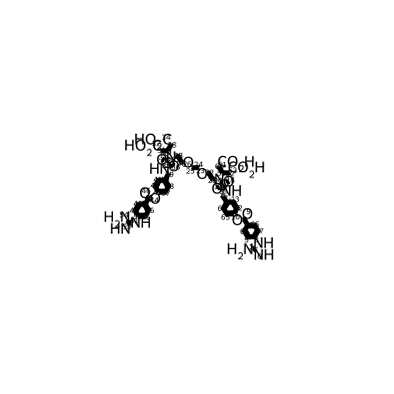 N=C(N)Nc1ccc(C(=O)Oc2ccc(CNS(=O)(=O)N(CCOCCOCCN(C(CC(=O)O)CC(=O)O)S(=O)(=O)NCc3ccc(OC(=O)c4ccc(NC(=N)N)cc4)cc3)C(CC(=O)O)CC(=O)O)cc2)cc1